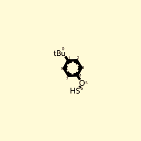 CC(C)(C)c1ccc(OS)cc1